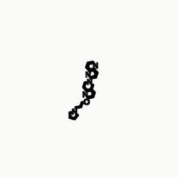 c1cnc2ccc(N3CCc4nc(OCCCN5CCCC5)ccc4C3)nc2c1